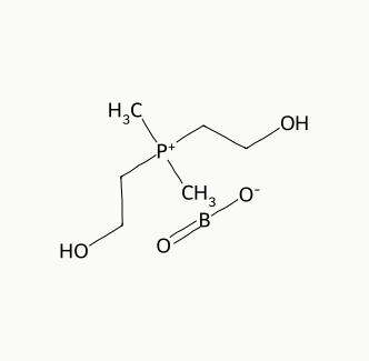 C[P+](C)(CCO)CCO.O=B[O-]